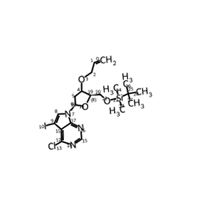 C=CCOC1C[C@H](n2cc(I)c3c(Cl)ncnc32)O[C@@H]1CO[Si](C)(C)C(C)(C)C